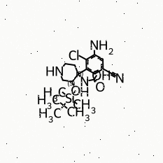 CC(C)(C)[Si](C)(C)O[C@H]1CNCC[C@]1(NC(=O)O)c1cc(C#N)cc(N)c1Cl